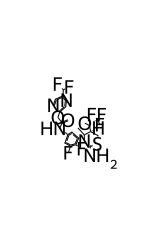 NC1=N[C@@]2(c3cc(NC(=O)Oc4cnc(C(F)F)cn4)cc(F)c3F)CO[C@H](C(F)(F)F)[C@H]2CS1